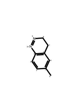 Cc1ccc2c(c1)CCN=N2